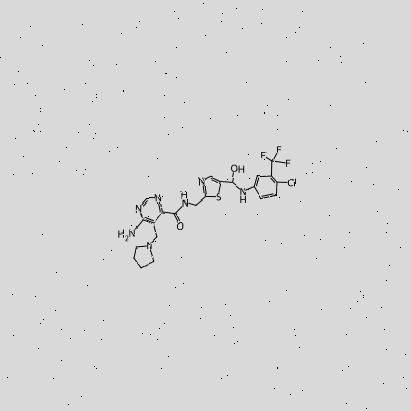 Nc1ncnc(C(=O)NCc2ncc(C(O)Nc3ccc(Cl)c(C(F)(F)F)c3)s2)c1CN1CCCC1